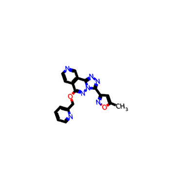 Cc1cc(-c2nnc3c4cnccc4c(OCc4ccccn4)nn23)no1